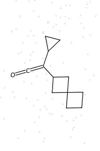 O=C=C(C1CC1)C1CC2(CCC2)C1